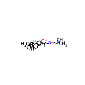 CN(C)CCON=CC=C[C@]1(O)CC[C@@]2(C)C(=CC[C@H]3[C@@H]4CCC[C@@]4(C)CC[C@@H]32)C1